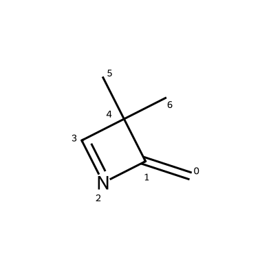 C=C1N=CC1(C)C